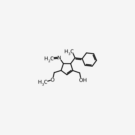 C=NC1C(COC)C=C(CO)C1/C(C)=C1\C=CC=CC1